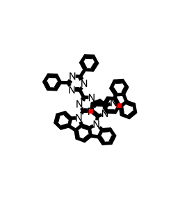 c1ccc(-c2nc(-c3ccccc3)nc(-c3nc(-c4ccccc4)nc(-n4c5ccccc5c5ccc6c7ccccc7n(-c7cccc(-n8c9ccccc9c9ccccc98)n7)c6c54)n3)n2)cc1